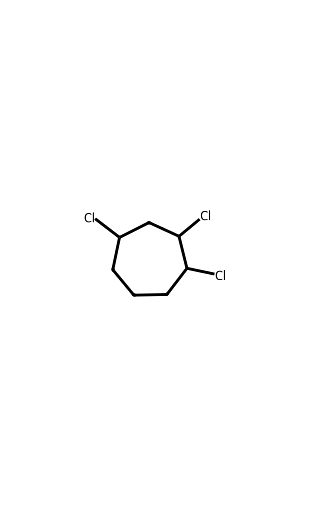 ClC1CCCC(Cl)C(Cl)C1